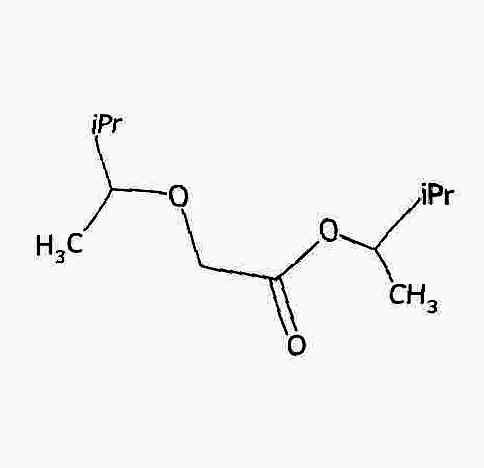 CC(C)C(C)OCC(=O)OC(C)C(C)C